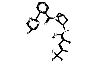 C=N/C(NC1CC2CC1N(C(=O)c1ccccc1-c1ncc(F)cn1)C2)=C(F)\C=C(/C)C(F)(F)F